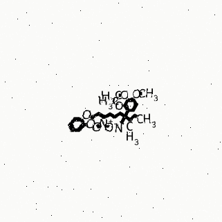 CCC(C)C(C#N)(CCCC(CC1Oc2ccccc2O1)[N+](=O)[O-])c1ccc(OC)c(OC)c1OC